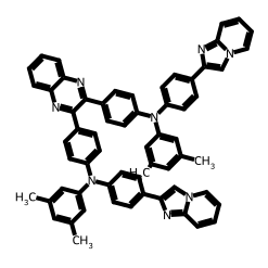 Cc1cc(C)cc(N(c2ccc(-c3cn4ccccc4n3)cc2)c2ccc(-c3nc4ccccc4nc3-c3ccc(N(c4ccc(-c5cn6ccccc6n5)cc4)c4cc(C)cc(C)c4)cc3)cc2)c1